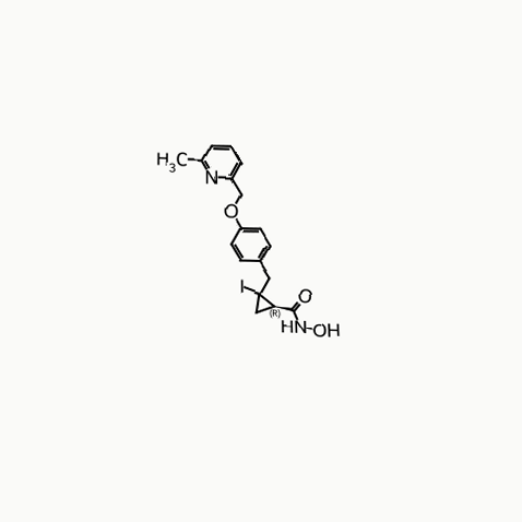 Cc1cccc(COc2ccc(CC3(I)C[C@@H]3C(=O)NO)cc2)n1